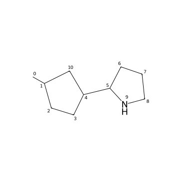 CC1CCC(C2CCCN2)C1